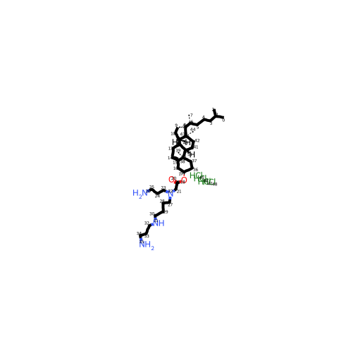 CC(C)CCC[C@@H](C)[C@H]1CC[C@H]2[C@@H]3CC=C4C[C@@H](OC(=O)CN(CCCN)CCCCNCCCN)CC[C@]4(C)[C@H]3CC[C@]12C.Cl.Cl.Cl.Cl